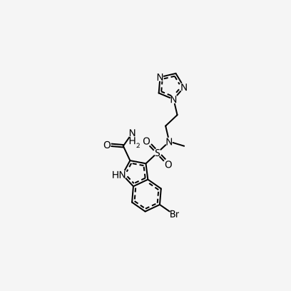 CN(CCn1cncn1)S(=O)(=O)c1c(C(N)=O)[nH]c2ccc(Br)cc12